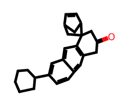 O=C1Cc2cc3ccc(C4CCCCC4)cc3cc2C2(C1)CC1C=CC2C1